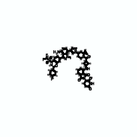 C[C@H](Oc1cc(-c2nn(C)c3c(-c4cnn(C5CCN(C(=O)C6CC(Nc7cccc8c7C(=O)N([C@@H]7CCC(=O)NC7=O)C8=O)C6)C6(CC6)C5)c4)cnc(N)c23)ccc1NS(=O)(=O)C(F)F)c1ccc(F)cc1